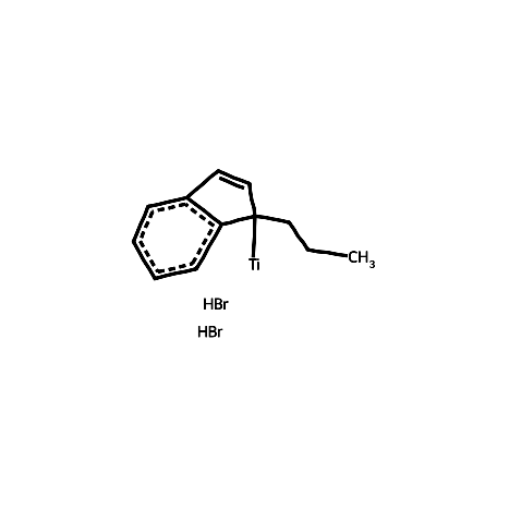 Br.Br.CCC[C]1([Ti])C=Cc2ccccc21